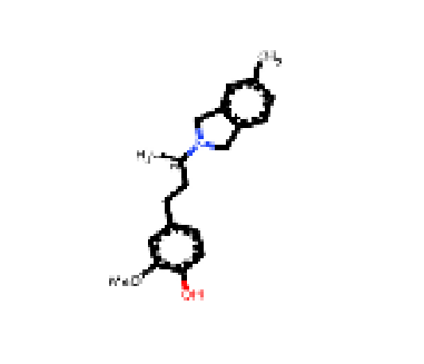 COc1cc(CC[C@@H](C)N2Cc3ccc(C)cc3C2)ccc1O